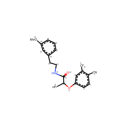 CCCC(Oc1ccc(C#N)c(C(F)(F)F)c1)C(=O)NCCc1cccc(OC)c1